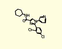 O=C(NC1CCCCC1)c1cn(-c2cccnc2)c(-c2ccc(Cl)cc2Cl)n1